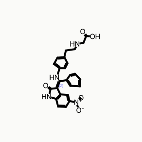 O=C(O)CNCCc1ccc(N/C(=C2\C(=O)Nc3ccc([N+](=O)[O-])cc32)c2ccccc2)cc1